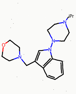 CC(C)N1CCN(n2cc(CN3CCOCC3)c3ccc[c]c32)CC1